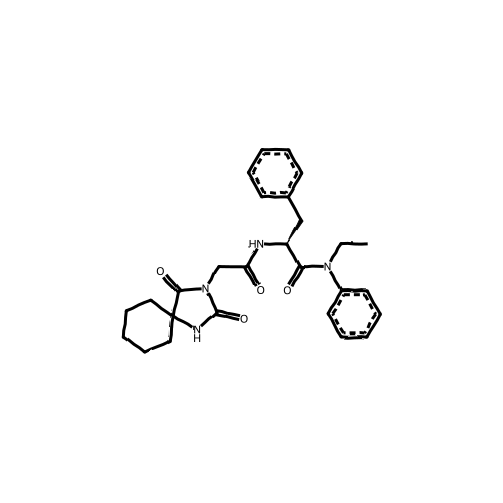 CCN(C(=O)[C@H](Cc1ccccc1)NC(=O)CN1C(=O)NC2(CCCCC2)C1=O)c1ccccc1